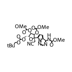 COC(=O)Nc1ncnn2c([C@]3(CC#N)O[C@H](COC(=O)OCC(C)(C)C)[C@@H](OC(=O)OC)[C@H]3OC(=O)OC)ccc12